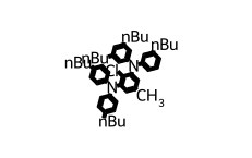 CCCCc1ccc(N(c2ccc(CCCC)cc2)c2cc(C)cc(N(c3cccc(CCCC)c3)c3cc(CCCC)cc(CCCC)c3)c2Cl)cc1